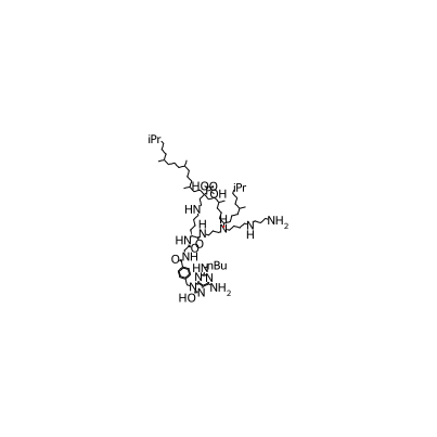 CCCCNc1nc(N)c2nc(O)n(Cc3ccc(C(=O)NCC(=O)N[C@@H](CCCCNCCC(CCC(C)CCCC(C)CCCC(C)CCCC(C)C)(CCC(C)CCCC(C)CCCC(C)CCCC(C)C)P(=O)(O)O)C(=O)NCCCNCCCCNCCCN)cc3)c2n1